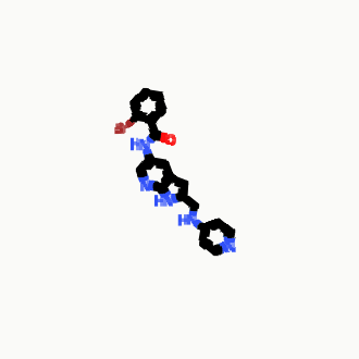 O=C(Nc1cnc2[nH]c(CNc3ccncc3)cc2c1)c1ccccc1Br